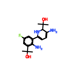 CC(C)(O)c1cc(F)cc(C2=CC=C(N)C(C(C)(C)O)N2)c1N